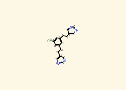 Clc1cc(CCc2cncnc2)cc(CCc2cncnc2)c1